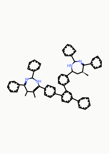 CC1=C(c2ccc(-c3ccc(-c4ccccc4)cc3-c3cccc(C4C[C@H](C)C(c5ccccc5)=NC(c5ccccc5)N4)c3)cc2)NC(c2ccccc2)N=C(c2ccccc2)C1C